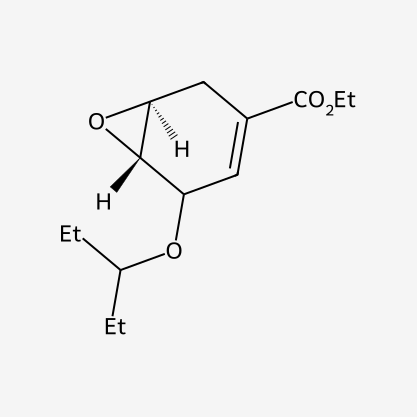 CCOC(=O)C1=CC(OC(CC)CC)[C@@H]2O[C@H]2C1